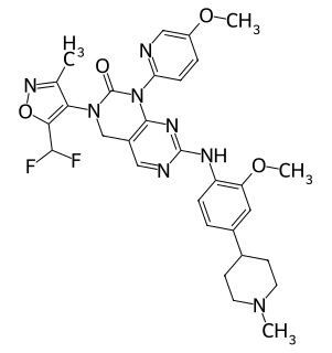 COc1ccc(N2C(=O)N(c3c(C)noc3C(F)F)Cc3cnc(Nc4ccc(C5CCN(C)CC5)cc4OC)nc32)nc1